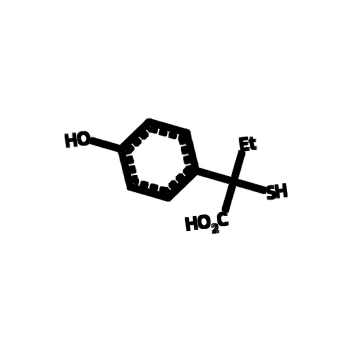 CCC(S)(C(=O)O)c1ccc(O)cc1